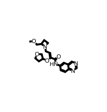 COCC1CCN1CC=C(OC1CCOC1)C(=O)Nc1ccc2ncncc2c1